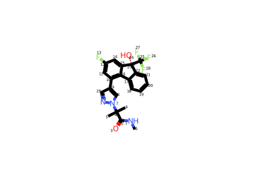 CNC(=O)C(C)(C)n1cc(-c2cc(F)cc3c2-c2ccccc2[C@]3(O)C(F)(F)F)cn1